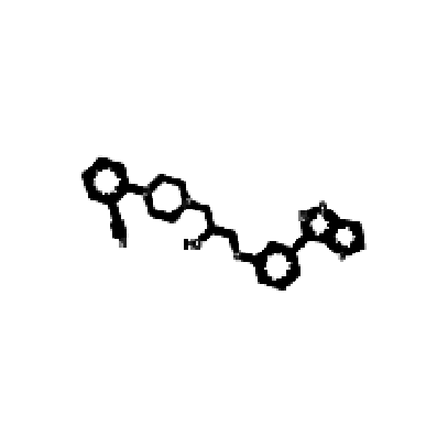 N#Cc1ccccc1N1CCN(CC(O)COc2cccc(-c3noc4ccsc34)c2)CC1